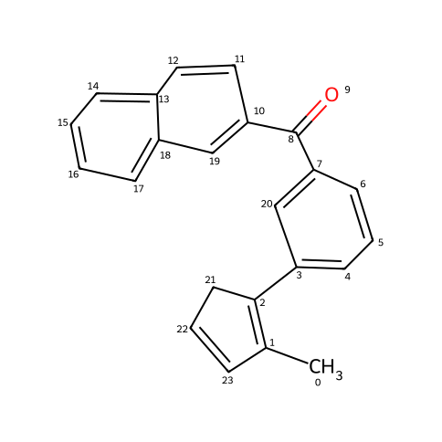 CC1=C(c2cccc(C(=O)c3ccc4ccccc4c3)c2)CC=C1